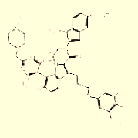 CC(=O)N1CCN(Cc2nc(C)c(-c3c(Cl)ccc4c(CCCOc5cc(C)c(Cl)c(C)c5)c5n(c34)[C@H](C)CN(c3cc4cc(C(=O)O)ccc4n3C)C5=O)c(C)n2)CC1